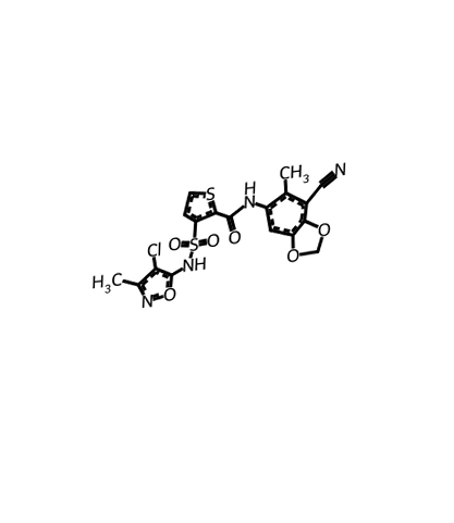 Cc1noc(NS(=O)(=O)c2ccsc2C(=O)Nc2cc3c(c(C#N)c2C)OCO3)c1Cl